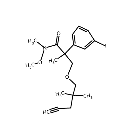 C#CCC(C)(C)COCC(C)(C(=O)N(C)OC)c1cccc(I)c1